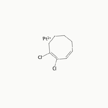 ClC1=C(Cl)CCCCC=C1.[Pt+2]